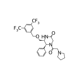 O=C1CN(C(=O)CN2CCCC2)[C@@H](c2ccccc2)[C@@H](COCc2cc(C(F)(F)F)cc(C(F)(F)F)c2)N1